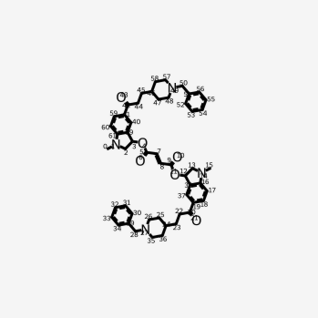 CN1CC(OC(=O)/C=C/C(=O)OC2CN(C)c3ccc(C(=O)CCC4CCN(Cc5ccccc5)CC4)cc32)c2cc(C(=O)CCC3CCN(Cc4ccccc4)CC3)ccc21